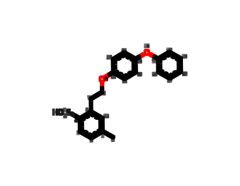 Cc1ccc(S(=O)(=O)O)c(CCOc2ccc(Oc3ccccc3)cc2)c1